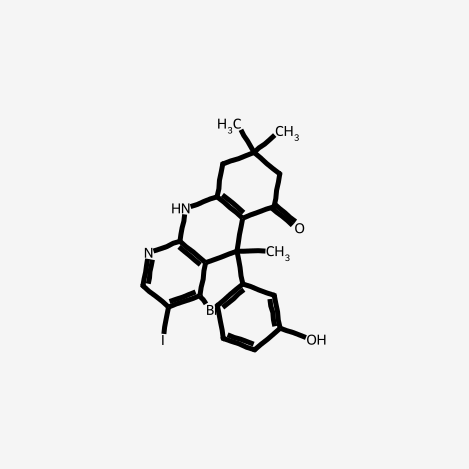 CC1(C)CC(=O)C2=C(C1)Nc1ncc(I)c(Br)c1C2(C)c1cccc(O)c1